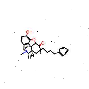 CN1CC[C@]23c4c5ccc(O)c4OC2C(=O)C(C)(CCCCc2ccccc2)C[C@H]3[C@H]1C5